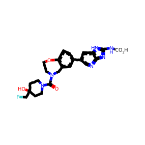 O=C(O)Nc1nc2ncc(-c3ccc4c(c3)CN(C(=O)N3CCC(O)(CF)CC3)CCO4)cc2[nH]1